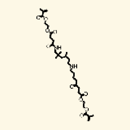 C=C(C)C(=O)OCCOC(=O)CCC(=O)CCCCNCCC(C)CC(C)(C)CNC(=O)CCC(=O)OCCOC(=O)C(=C)C